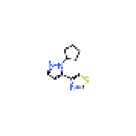 c1cc(-c2cscn2)n(C2CCCC2)n1